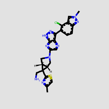 Cc1csc(C2(CN)[C@@H]3CN(c4cnc5c(-c6ccc7nn(C)cc7c6Cl)n[nH]c5n4)C[C@@H]32)n1